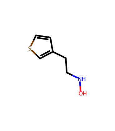 ONCCc1ccsc1